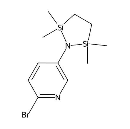 C[Si]1(C)CC[Si](C)(C)N1c1ccc(Br)nc1